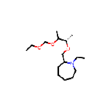 CCOCOC(C)[C@H](C)OCC1CCCCCN1CC